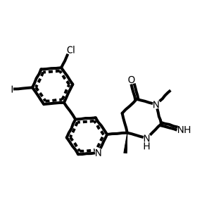 CN1C(=N)N[C@](C)(c2cc(-c3cc(Cl)cc(I)c3)ccn2)CC1=O